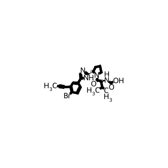 CC#Cc1cc(-c2cnc([C@@H]3CCCN3C(=O)[C@@H](NC(=O)O)C(C)C)[nH]2)ccc1Br